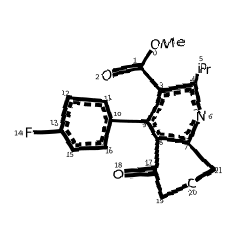 COC(=O)c1c(C(C)C)nc2c(c1-c1ccc(F)cc1)C(=O)CCC2